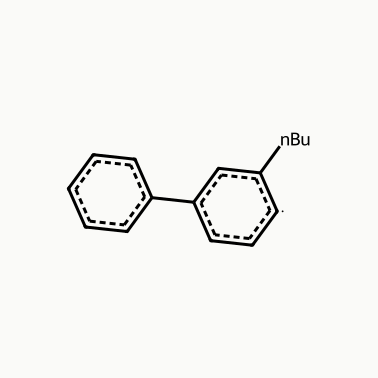 CCCCc1[c]ccc(-c2ccccc2)c1